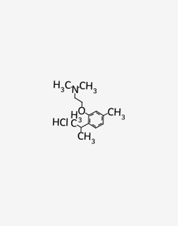 Cc1ccc(C(C)C)c(OCCN(C)C)c1.Cl